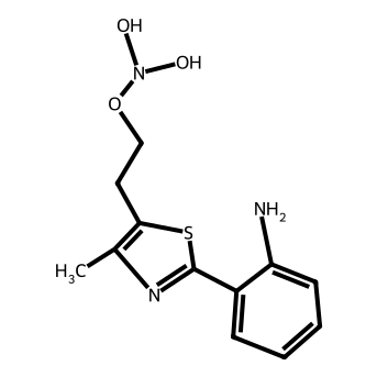 Cc1nc(-c2ccccc2N)sc1CCON(O)O